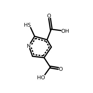 O=C(O)c1cnc(S)c(C(=O)O)c1